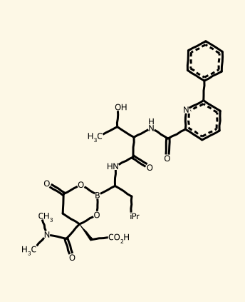 CC(C)CC(NC(=O)C(NC(=O)c1cccc(-c2ccccc2)n1)C(C)O)B1OC(=O)C[C@@](CC(=O)O)(C(=O)N(C)C)O1